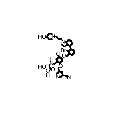 N#Cc1cncc(COc2cc(OCc3cccc(-c4cccc5c4CCN5CCCN4CCC(O)CC4)c3Br)c(Cl)cc2CN[C@@H](CO)C(=O)O)c1